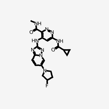 CNC(=O)c1nnc(NC(=O)C2CC2)cc1Nc1nc2ccc(N3CCC(F)C3)cn2n1